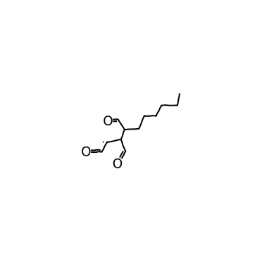 CCCCCCC(C=O)C([CH]C=O)C=O